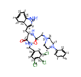 O=C(CN1CCN(c2ccccc2)CC1)NC(Cc1c[nH]c2ccccc12)C(=O)NCc1cc(Cl)c(Cl)c(Cl)c1